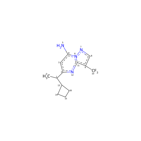 CC(c1cc(N)n2ncc(C(F)(F)F)c2n1)C1CCC1